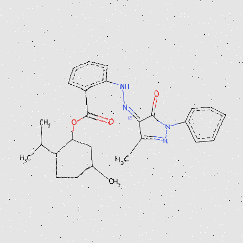 CC1=NN(c2ccccc2)C(=O)/C1=N\Nc1ccccc1C(=O)OC1CC(C)CCC1C(C)C